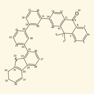 CC1(C)c2ccccc2C(=O)c2ccc(-c3cccc(-c4cccc(-c5cccc6c7c(sc56)CCC=C7)c4)c3)cc21